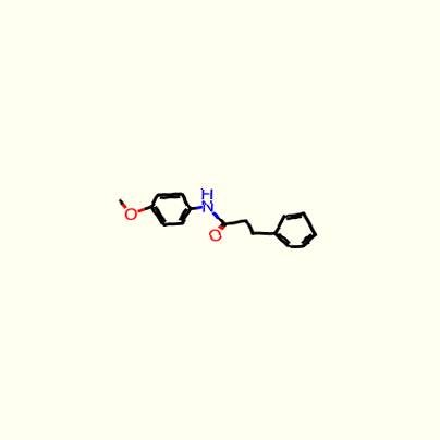 COc1ccc(NC(=O)CCc2ccccc2)cc1